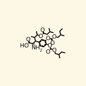 CCC(C)COC(=O)Oc1ccc(C(C(C)C(C)OC(=O)CC(C)C)[C@H](N)C(=O)O)cc1OC(=O)OCC(C)CC